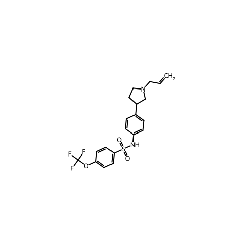 C=CCN1CCC(c2ccc(NS(=O)(=O)c3ccc(OC(F)(F)F)cc3)cc2)C1